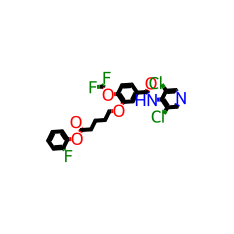 O=C(CCCCOc1cc(C(=O)Nc2c(Cl)cncc2Cl)ccc1OC(F)F)Oc1ccccc1F